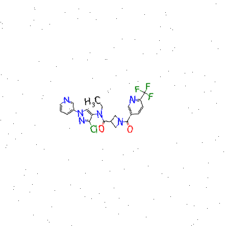 CCN(C(=O)C1CN(C(=O)c2ccc(C(F)(F)F)nc2)C1)c1cn(-c2cccnc2)nc1Cl